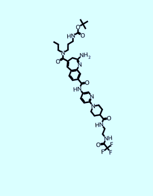 CCCN(CCCNC(=O)OC(C)(C)C)C(=O)C1=Cc2ccc(C(=O)Nc3ccc(N4CCC(C(=O)NCCNC(=O)C(F)(F)F)CC4)nc3)cc2N=C(N)C1